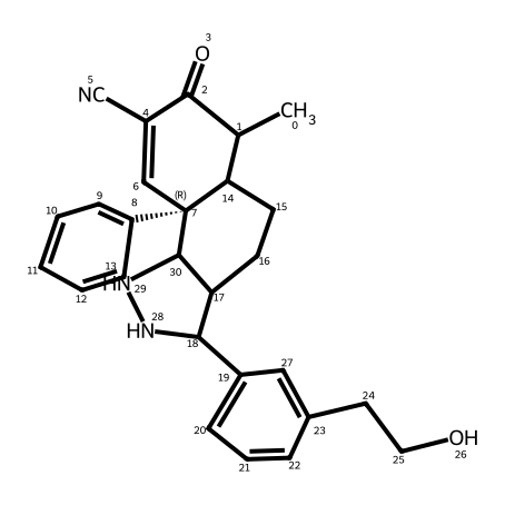 CC1C(=O)C(C#N)=C[C@@]2(c3ccccc3)C1CCC1C(c3cccc(CCO)c3)NNC12